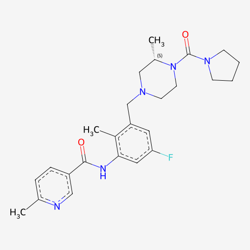 Cc1ccc(C(=O)Nc2cc(F)cc(CN3CCN(C(=O)N4CCCC4)[C@@H](C)C3)c2C)cn1